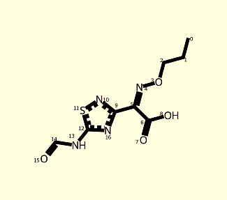 CCCON=C(C(=O)O)c1nsc(NC=O)n1